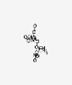 CC1(C)c2cc(-c3cccc(-c4nc(-c5ccc(-c6ccccc6)cc5)nc(-c5cccc6c5oc5ccccc56)n4)c3)ccc2-c2cc3nc(-c4ccccc4)oc3cc21